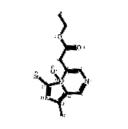 CCOC(=O)CC1=CN=CC2=C(C)N=C(Br)[N+]12[O-]